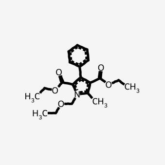 CCOCn1c(C)c(C(=O)OCC)c(-c2ccccc2)c1C(=O)OCC